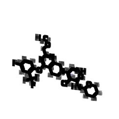 COCc1nc2c(c(Oc3ccc(F)cc3C(F)(F)F)n1)CCN(/C(C=N)=C(\Cl)C(=O)NC1CCCCO1)C2